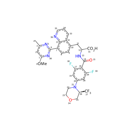 COc1cc(C)nc(-c2ccc(CC(NC(=O)c3c(F)cc(N4CCOC[C@@H]4C(F)(F)F)cc3F)C(=O)O)c3cccnc23)n1